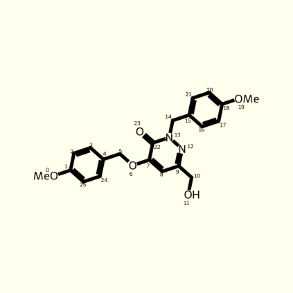 COc1ccc(COc2cc(CO)nn(Cc3ccc(OC)cc3)c2=O)cc1